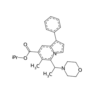 Cc1c(C(=O)OC(C)C)cc2c(-c3ccccc3)ccn2c1C(C)N1CCOCC1